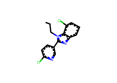 CCCn1c(-c2ccc(Cl)nc2)nc2cccc(Cl)c21